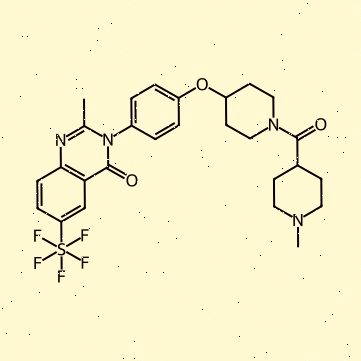 Cc1nc2ccc(S(F)(F)(F)(F)F)cc2c(=O)n1-c1ccc(OC2CCN(C(=O)C3CCN(C)CC3)CC2)cc1